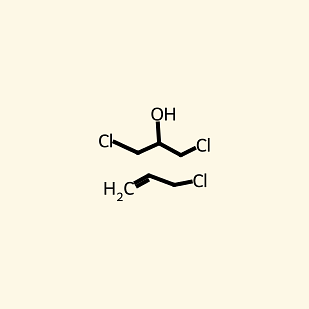 C=CCCl.OC(CCl)CCl